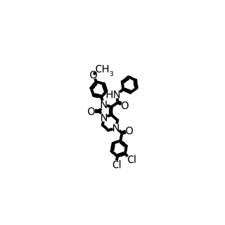 COc1ccc(-n2c(C(=O)Nc3ccccc3)c3n(c2=O)CCN(C(=O)c2ccc(Cl)c(Cl)c2)C3)cc1